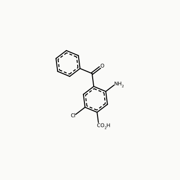 Nc1cc(C(=O)O)c(Cl)cc1C(=O)c1ccccc1